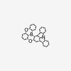 c1ccc2c(c1)Oc1cccc3c1B2c1c(cc2c4ccccc4n4c5ccccc5c1c24)O3